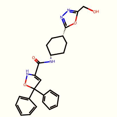 O=C(N[C@H]1CC[C@@H](c2nnc(CO)o2)CC1)C1=CC(c2ccccc2)(c2ccccc2)ON1